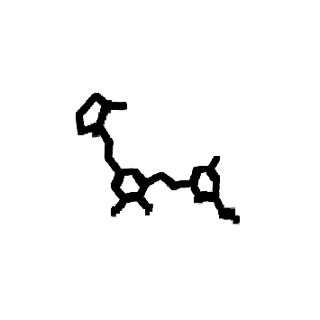 Cc1cc(N)nc(CCc2cc(CC[C@H]3CCCN3C)cc(F)c2F)c1